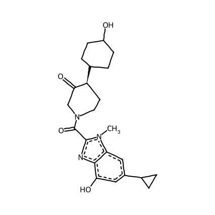 Cn1c(C(=O)N2CC[C@H](C3CCC(O)CC3)C(=O)C2)nc2c(O)cc(C3CC3)cc21